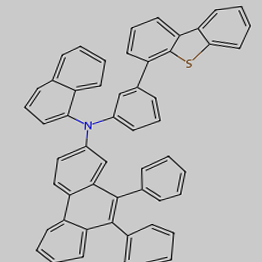 c1ccc(-c2c(-c3ccccc3)c3cc(N(c4cccc(-c5cccc6c5sc5ccccc56)c4)c4cccc5ccccc45)ccc3c3ccccc23)cc1